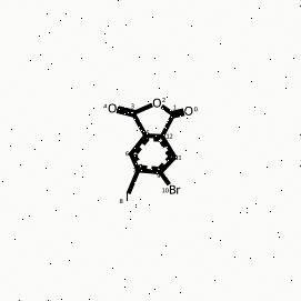 O=C1OC(=O)c2cc(I)c(Br)cc21